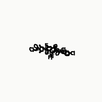 COc1c(N2CC(C)N(C(=O)CCl)C(C)C2)c(F)cc2c(=O)c(OC(=O)NCc3ccc(Cl)cc3Cl)cn(CC(F)(F)F)c12